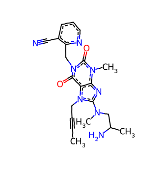 CC#CCn1c(N(C)CC(C)N)nc2c1c(=O)n(Cc1ncccc1C#N)c(=O)n2C